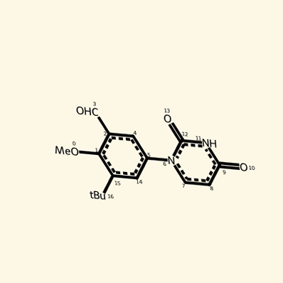 COc1c(C=O)cc(-n2ccc(=O)[nH]c2=O)cc1C(C)(C)C